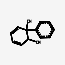 N#CC1C=CC=CC1(C#N)c1ccccc1